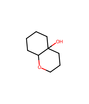 OC12CCCCC1OCCC2